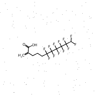 C=C(CCCC(F)(F)C(F)(F)C(F)(F)C(F)(F)C(F)(F)C(F)F)C(=O)O